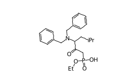 CCOP(=O)(O)CC(=O)C(CC(C)C)N(Cc1ccccc1)Cc1ccccc1